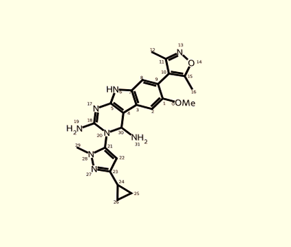 COc1cc2c3c([nH]c2cc1-c1c(C)noc1C)N=C(N)N(c1cc(C2CC2)nn1C)C3N